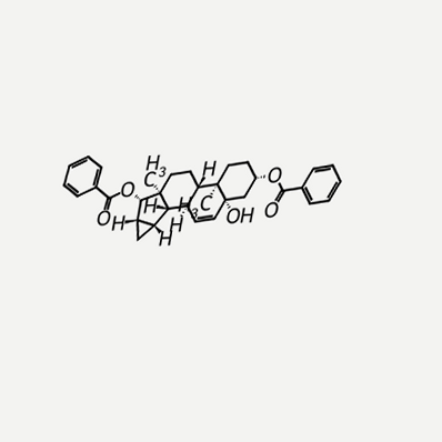 C[C@]12CC[C@H]3[C@@H](C=C[C@]4(O)C[C@@H](OC(=O)c5ccccc5)CC[C@]34C)[C@@H]1[C@@H]1C[C@@H]1[C@@H]2OC(=O)c1ccccc1